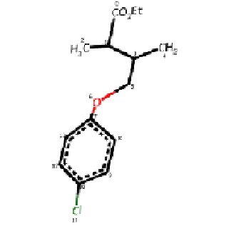 CCOC(=O)C(C)C(C)COc1ccc(Cl)cc1